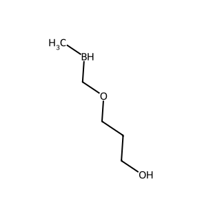 CBCOCCCO